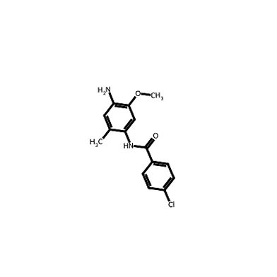 COc1cc(NC(=O)c2ccc(Cl)cc2)c(C)cc1N